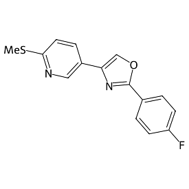 CSc1ccc(-c2coc(-c3ccc(F)cc3)n2)cn1